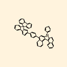 c1ccc(-n2c3ccc4ccccc4c3c3c4ccccc4c(-c4ccc(-c5ccc6c(c5)C5(c7ccccc7-c7ccccc75)c5ccccc5-6)cc4)cc32)cc1